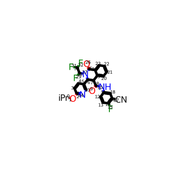 CC(C)Oc1ccc(C2C(C(=O)Nc3ccc(F)c(C#N)c3)c3ccccc3C(=O)N2C(F)C(F)F)cn1